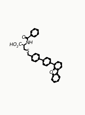 O=C(N[C@@H](CSCc1ccc(-c2ccc(-c3cccc4c3oc3ccccc34)cc2)cc1)C(=O)O)c1ccccc1